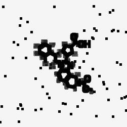 COC(=O)N1CCc2ccc3c(nc([C@H]4CC[C@@H](C(=O)O)C4)n3[C@H](C)Cc3ccccc3C)c2C1